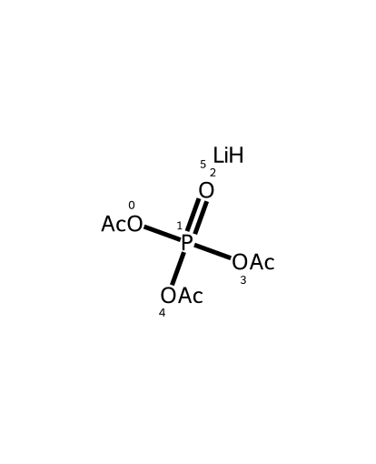 CC(=O)OP(=O)(OC(C)=O)OC(C)=O.[LiH]